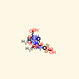 CC(C)C[C@H](NC(=O)[C@@H](NC(=O)[C@@H](N)CCC(=O)O)C(C)C)C(=O)N[C@@H](Cc1ccccc1)[C@@H](O)C(=O)Nc1cc(Br)c(OCC(=O)O)c(Br)c1